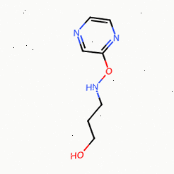 OCCCNOc1cnccn1